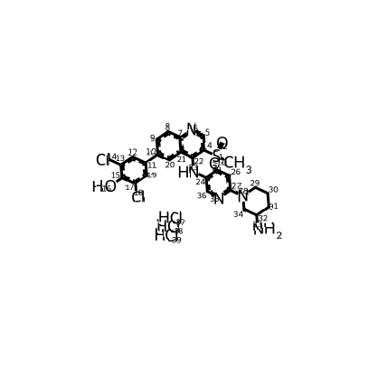 CS(=O)(=O)c1cnc2ccc(-c3cc(Cl)c(O)c(Cl)c3)cc2c1Nc1ccc(N2CCCC(N)C2)nc1.Cl.Cl.Cl